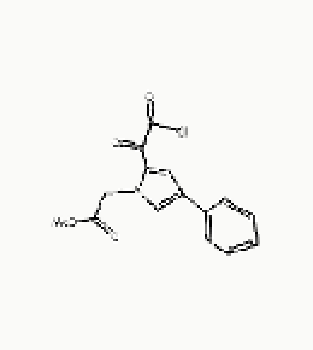 COC(=O)Cn1cc(-c2ccccc2)cc1C(=O)C(=O)Cl